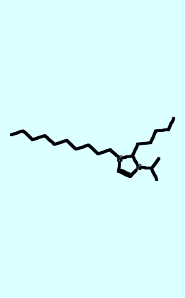 CCCCCCCCCCN1C=CN(C(C)C)C1CCCCC